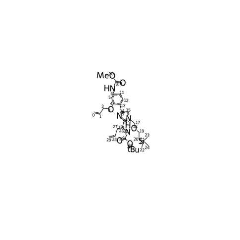 C=CCOc1cc(NC(=O)OC)ccc1-c1cn(COCC[Si](C)(C)C)c([C@H](CC=C)NC(=O)OC(C)(C)C)n1